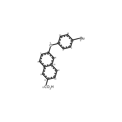 CCC(C)c1ccc(Oc2ccc3cc(C(=O)O)ccc3c2)cc1